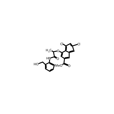 COC(=O)c1cc(OC(C)C(=O)Nc2ccccc2CO)c2c(Cl)cc(Cl)cc2c1